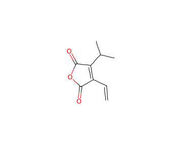 C=CC1=C(C(C)C)C(=O)OC1=O